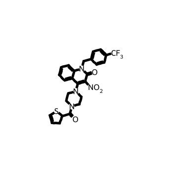 O=C(C1CC=CS1)N1CCN(c2c([N+](=O)[O-])c(=O)n(Cc3ccc(C(F)(F)F)cc3)c3ccccc23)CC1